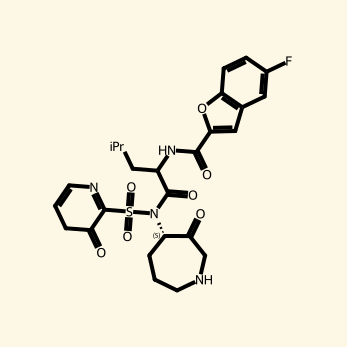 CC(C)CC(NC(=O)c1cc2cc(F)ccc2o1)C(=O)N([C@H]1CCCNCC1=O)S(=O)(=O)C1=NC=CCC1=O